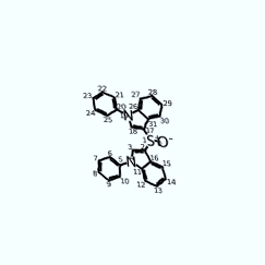 [O-][S+](c1cn(-c2ccccc2)c2ccccc12)c1cn(-c2ccccc2)c2ccccc12